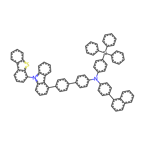 c1ccc([Si](c2ccccc2)(c2ccccc2)c2ccc(N(c3ccc(-c4ccc(-c5cccc6c5c5ccccc5n6-c5cccc6c5sc5ccccc56)cc4)cc3)c3ccc(-c4cccc5ccccc45)cc3)cc2)cc1